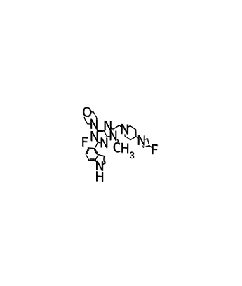 CCn1c(CN2CCC(N3CC(F)C3)CC2)nc2c(N3CCOCC3)nc(-c3c(F)ccc4[nH]ccc34)nc21